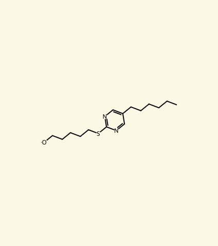 CCCCCCc1cnc(SCCCCC[O])nc1